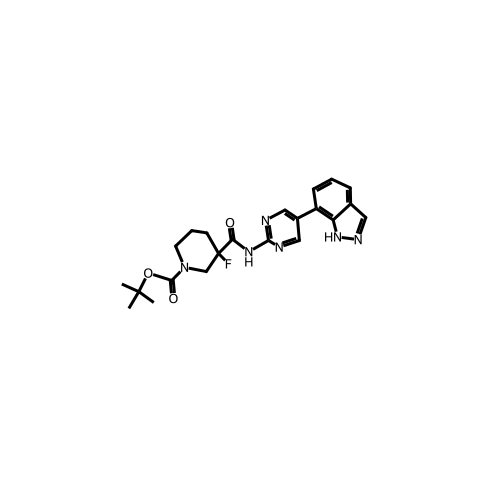 CC(C)(C)OC(=O)N1CCCC(F)(C(=O)Nc2ncc(-c3cccc4cn[nH]c34)cn2)C1